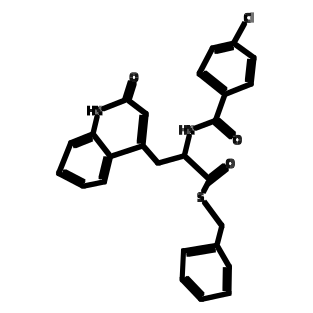 O=C(NC(Cc1cc(=O)[nH]c2ccccc12)C(=O)SCc1ccccc1)c1ccc(Cl)cc1